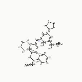 C=C(/C=C1/N=C(N2CCCC2)C=C(N(C)CCCC)N1C)C1CCCCN1C(=C)CC(NC)c1ccccc1